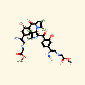 CCCCOC(=O)CN/C=C(\N)c1ccc(C(=O)c2cc(Cl)c(Cl)n2-c2c(C(=O)c3ccc(/C(=C/NCC(=O)OCCCC)N=N)cc3O)[nH]c(Cl)c2Cl)c(O)c1